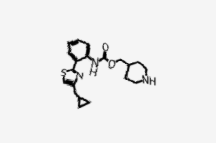 O=C(Nc1ccccc1-c1nc(C2CC2)cs1)OCC1CCNCC1